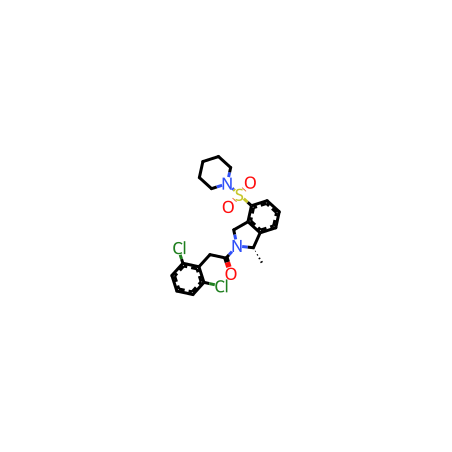 C[C@H]1c2cccc(S(=O)(=O)N3CCCCC3)c2CN1C(=O)Cc1c(Cl)cccc1Cl